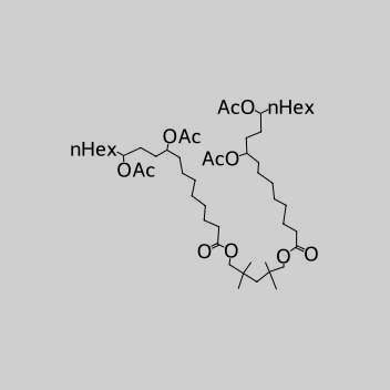 CCCCCCC(CCC(CCCCCCCC(=O)OCC(C)(C)CC(C)(C)COC(=O)CCCCCCCC(CCC(CCCCCC)OC(C)=O)OC(C)=O)OC(C)=O)OC(C)=O